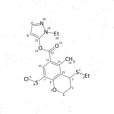 CCSC1CCOc2c(SCl)cc(C(=O)Oc3ccnn3CC)c(C)c21